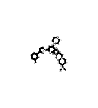 Cc1cccc(-c2ccn(-c3cc(N4CCOCC4)c4nc(CN5CCC(N(C)C)CC5)[nH]c4n3)n2)c1